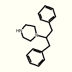 c1ccc(CC(Cc2ccccc2)N2CCNCC2)cc1